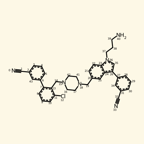 N#Cc1cccc(-c2cccc(Cl)c2CN2CCN(Cc3ccc4c(c3)c(-c3cccc(C#N)c3)cn4CCCN)CC2)c1